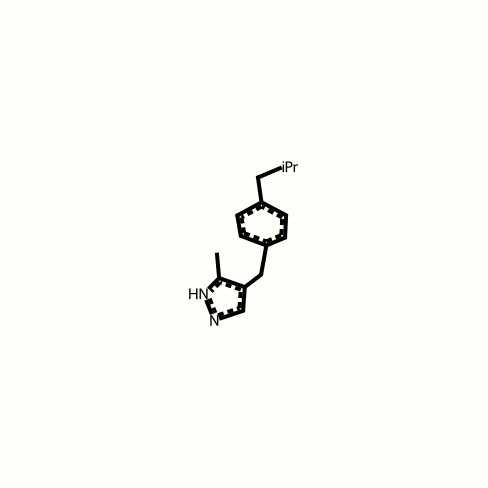 Cc1[nH]ncc1Cc1ccc(CC(C)C)cc1